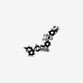 Cc1ccc2c(N3CCN(CCc4cccc(NC(=O)Nc5ccc(C(F)(F)F)cc5)c4)CC3)cccc2n1.Cl.Cl